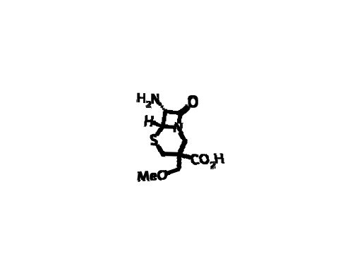 COCC1(C(=O)O)CS[C@@H]2[C@H](N)C(=O)N2C1